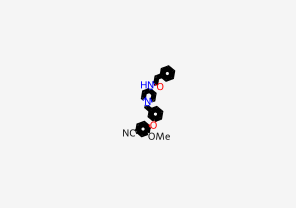 COc1cc(C#N)ccc1Oc1cccc(CN2CCC(NC(=O)Cc3ccccc3)CC2)c1